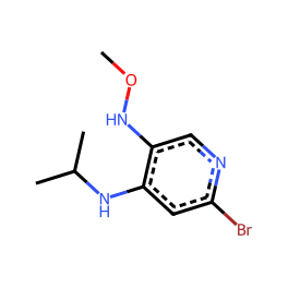 CONc1cnc(Br)cc1NC(C)C